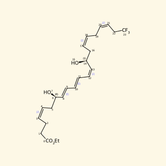 CCOC(=O)CC/C=C\C[C@@H](O)/C=C/C=C/C=C\[C@@H](O)C/C=C\C/C=C\CC(F)(F)F